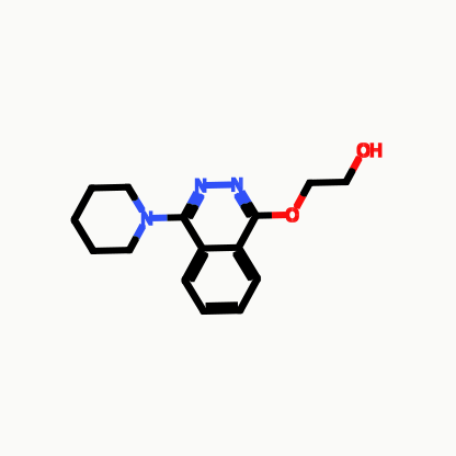 OCCOc1nnc(N2CCCCC2)c2ccccc12